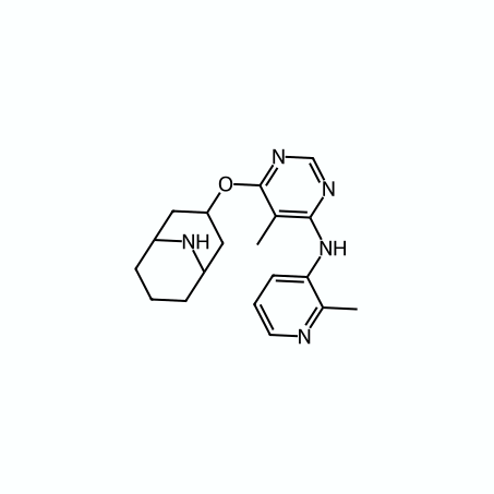 Cc1ncccc1Nc1ncnc(OC2CC3CCCC(C2)N3)c1C